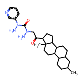 CC1CCC2C(CCC3C2CCC2(C)C(C(=O)CN(N)C(=O)N(N)c4cccnc4)CCC32)C1